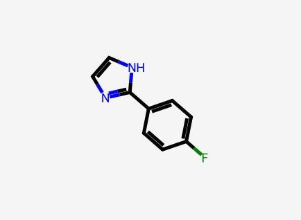 Fc1ccc(-c2ncc[nH]2)cc1